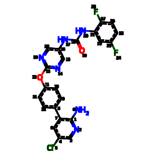 Nc1ncc(Cl)cc1-c1ccc(Oc2ncc(NC(=O)Nc3cc(F)ccc3F)cn2)cc1